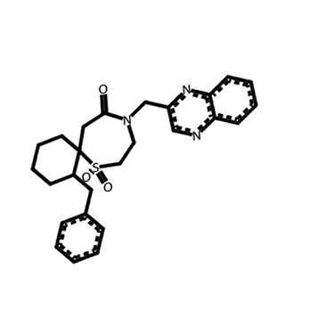 O=C1CC2(CCCCC2Cc2ccccc2)S(=O)(=O)CCN1Cc1cnc2ccccc2n1